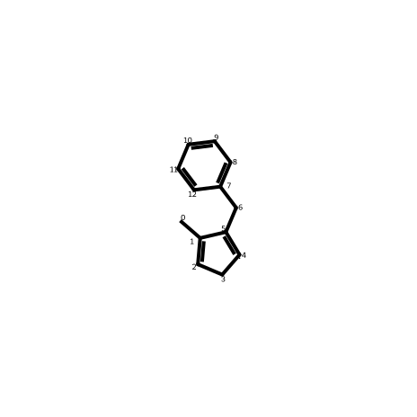 CC1=CC[C]=C1Cc1ccccc1